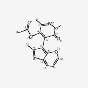 CC(=O)Oc1c(C)nn(C)c(=O)c1-c1c(C)cc2cccoc1-2